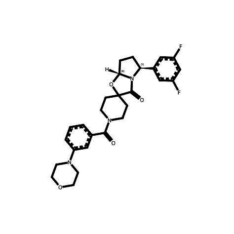 O=C(c1cccc(N2CCOCC2)c1)N1CCC2(CC1)O[C@@H]1CC[C@@H](c3cc(F)cc(F)c3)N1C2=O